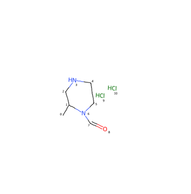 CC1CNCCN1C=O.Cl.Cl